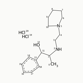 CC(NCCN1CCCCC1)C(O)c1ccccc1.Cl.Cl